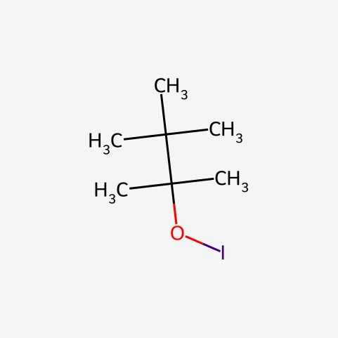 CC(C)(C)C(C)(C)OI